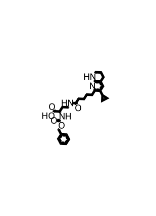 O=C(CCCCc1nc2c(cc1C1CC1)CCCN2)NCCC(NC(=O)OCc1ccccc1)C(=O)O